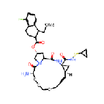 COCC1c2cccc(F)c2CCC1C(=O)O[C@@H]1CC2C(=O)N[C@]3(C(=O)NSC4CC4)C[C@H]3/C=C\CCCCC[C@H](N)C(=O)N2C1